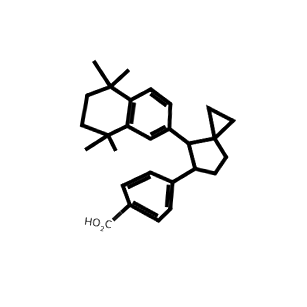 CC1(C)CCC(C)(C)c2cc(C3C(c4ccc(C(=O)O)cc4)CCC34CC4)ccc21